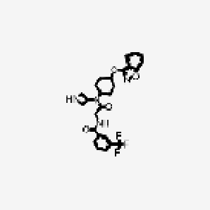 O=C(NCC(=O)N(C1CCC(Oc2noc3ccccc23)CC1)C1CNC1)c1cccc(C(F)(F)F)c1